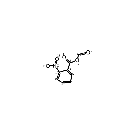 O=[C]OC(=O)c1ccccc1[N+](=O)[O-]